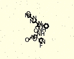 COCCN1C[C@@H](NC(=O)Nc2c(C)c(-c3cnc(-c4cnoc4)nc3)nn2-c2ccccc2)[C@H](c2ccnc(F)c2)O1